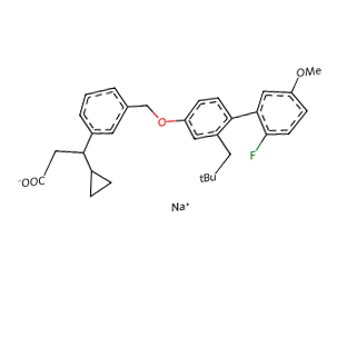 COc1ccc(F)c(-c2ccc(OCc3cccc(C(CC(=O)[O-])C4CC4)c3)cc2CC(C)(C)C)c1.[Na+]